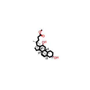 COC(=O)CC[C@@H](C)[C@H]1CC[C@H]2[C@@H]3C=C[C@@H]4C[C@H](O)CC[C@]4(C)[C@H]3C[C@H](O)[C@]12C